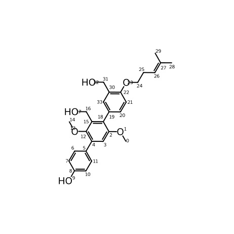 COc1cc(-c2ccc(O)cc2)c(OC)c(CO)c1-c1ccc(OCCC=C(C)C)c(CO)c1